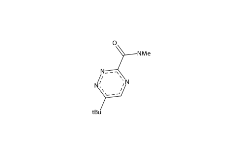 CNC(=O)c1ncc(C(C)(C)C)nn1